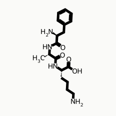 C[C@H](NC(=O)[C@@H](N)Cc1ccccc1)C(=O)N[C@@H](CCCCN)C(=O)O